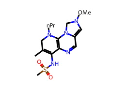 CCCN1CC(C)=C(NS(C)(=O)=O)C2=C1N1CN(OC)C=C1C=N2